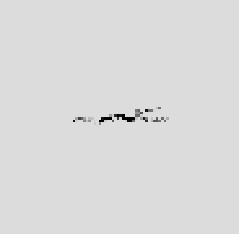 CON(C=O)CCCCOC=O